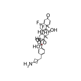 C[C@]12C=CC(=O)C=C1[C@@H](F)C[C@H]1[C@@H]3C[C@H]4O[C@H](c5ccc(CC67CC(N)(C6)C7)cc5)O[C@@]4(C(=O)CO)[C@@]3(C)C[C@H](O)[C@@]12F